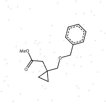 COC(=O)CC1(COCc2ccccc2)CC1